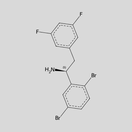 N[C@@H](Cc1cc(F)cc(F)c1)c1cc(Br)ccc1Br